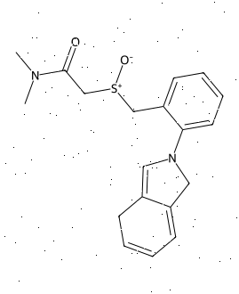 CN(C)C(=O)C[S+]([O-])Cc1ccccc1N1C=C2CC=CC=C2C1